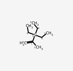 C=C(C)[Si](CC)(CC)CC